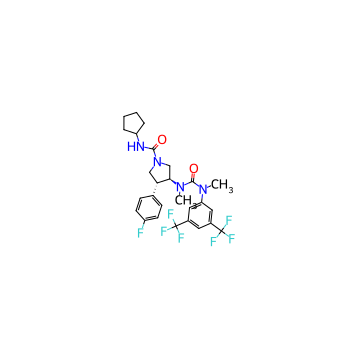 CN(C(=O)N(C)[C@@H]1CN(C(=O)NC2CCCC2)C[C@H]1c1ccc(F)cc1)c1cc(C(F)(F)F)cc(C(F)(F)F)c1